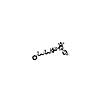 Cn1cnc2c(NCc3cn(CCCNCCCNC4CCCCC4)nn3)nc(N3CCNCC3)nc21